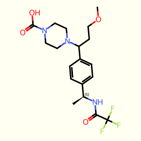 COCCC(c1ccc([C@H](C)NC(=O)C(F)(F)F)cc1)N1CCN(C(=O)O)CC1